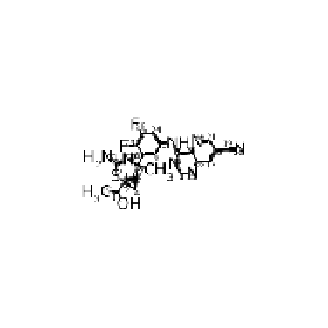 CC(O)[C@]12C[C@H]1[C@@](C)(c1cc(Nc3ncnc4cc(C#N)cnc34)cc(F)c1F)N=C(N)S2